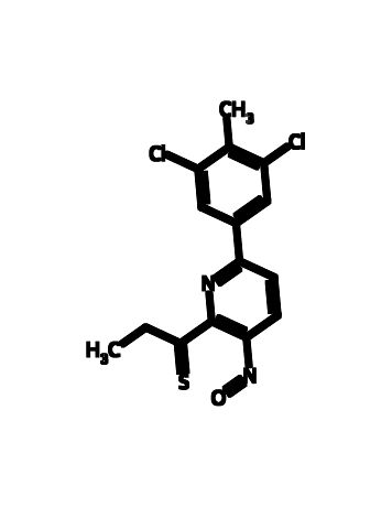 CCC(=S)c1nc(-c2cc(Cl)c(C)c(Cl)c2)ccc1N=O